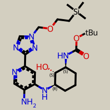 CC(C)(C)OC(=O)N[C@H]1CCC[C@@H](Nc2cc(-c3ncn(COCC[Si](C)(C)C)n3)ncc2N)[C@@H]1O